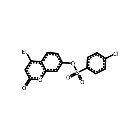 CCc1cc(=O)oc2cc(OS(=O)(=O)c3ccc(Cl)cc3)ccc12